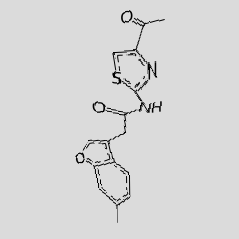 CC(=O)c1csc(NC(=O)Cc2coc3cc(C)ccc23)n1